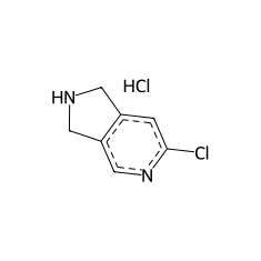 Cl.Clc1cc2c(cn1)CNC2